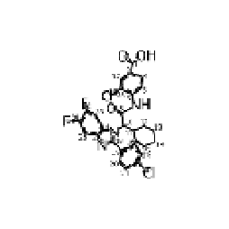 O=C(O)c1ccc(NC(=O)C(C2CCCCC2)n2c(-c3ccc(Cl)cc3)nc3cc(F)c(F)cc32)c(Cl)c1